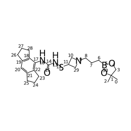 CC1(C)COB(CCCN2CC(SNC(=O)Nc3c4c(cc5c3CCC5)CCC4)C2)O1